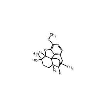 COc1ccc2c3c1O[C@@H]1[C@]34CCN(C)[C@H](C2)[C@@H]4CC[C@]1(N)O